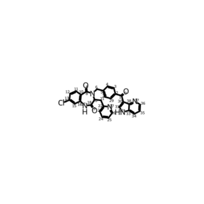 O=C(c1ccc(CN2C(=O)c3ccc(Cl)cc3NC(=O)C2Cc2ccccn2)cc1)c1c[nH]c2cccnc12